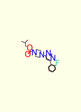 CC(C)COC(=O)N1CCN(c2cc(-c3ccccc3F)ncn2)CC1